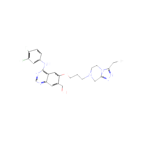 CCc1nnc2n1CCN(CCCOc1cc3c(Nc4ccc(F)c(Cl)c4)ncnc3cc1CO)C2